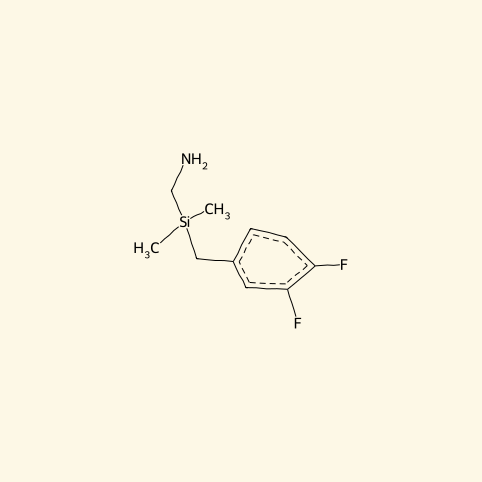 C[Si](C)(CN)Cc1ccc(F)c(F)c1